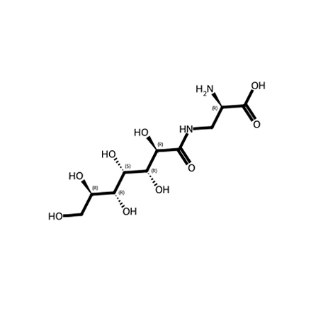 N[C@H](CNC(=O)[C@H](O)[C@H](O)[C@@H](O)[C@H](O)[C@H](O)CO)C(=O)O